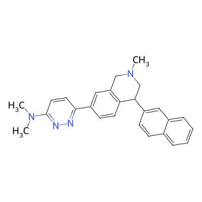 CN1Cc2cc(-c3ccc(N(C)C)nn3)ccc2C(c2ccc3ccccc3c2)C1